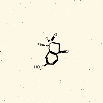 CCN1c2cc(C(=O)O)ccc2C(=O)CS1(=O)=O